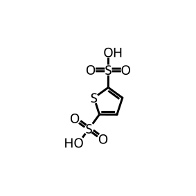 O=S(=O)(O)c1ccc(S(=O)(=O)O)s1